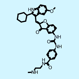 CNCCNC(=O)c1ccc(NC(=O)Nc2ccc3c(c2)C(=O)/C(=C/c2c(C4CCCCC4)[nH]c4ccc(OC)cc24)O3)cc1